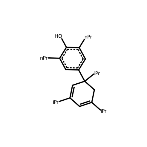 CCCc1cc(C2(C(C)C)C=C(C(C)C)C=C(C(C)C)C2)cc(CCC)c1O